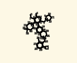 CCc1c(C)nc(CN2CCCC2)c(-c2ccc3c(c2)CCN(Cc2c(C)cccc2Cl)C3)c1N1CCC(C)(C)CC1